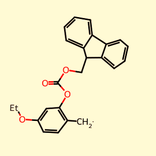 [CH2]c1ccc(OCC)cc1OC(=O)OCC1c2ccccc2-c2ccccc21